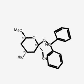 CO[C@@H]1C[C@@H](C(C)(C)C)C[C@](CC#N)(O[SiH](c2ccccc2)c2ccccc2)O1